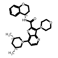 C[C@@H]1C[C@H](C)CN(c2ccnc3c(N4CCOCC4)c(C(=O)N[C@H]4CCOc5ccccc54)sc23)C1